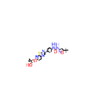 CC(C)(C)c1cc(NC(=O)Nc2ccc(-c3cn4c(n3)sc3nc(OCC5(CO)CC5)ccc34)cc2)no1